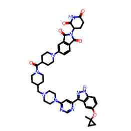 CC1(Oc2ccc3[nH]nc(-c4cc(N5CCN(CC6CCN(C(=O)C7CCN(c8ccc9c(c8)C(=O)N(C8CCC(=O)NC8=O)C9=O)CC7)CC6)CC5)ncn4)c3c2)CC1